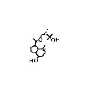 CC(OC[C@H](C)C(C)(C)O)C1CCC2C(O)CC[C@H](C)C21